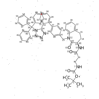 CC(C)(C)OC(=O)NCCC(=O)N[C@@H]1CCc2ccccc2N(Cc2ccc(-c3ccccc3-c3nnnn3C(c3ccccc3)(c3ccccc3)c3ccccc3)cc2)C1=O